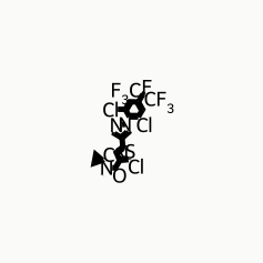 CN(C(=O)c1cc(-c2cnn(-c3c(Cl)cc(C(F)(C(F)(F)F)C(F)(F)F)cc3Cl)c2)sc1Cl)C1(C#N)CC1